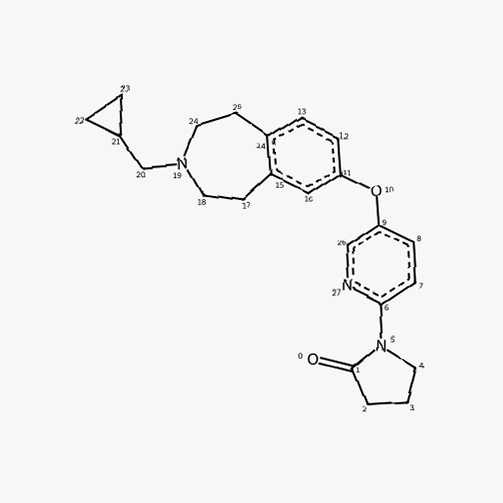 O=C1CCCN1c1ccc(Oc2ccc3c(c2)CCN(CC2CC2)CC3)cn1